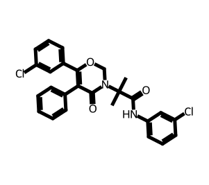 CC(C)(C(=O)Nc1cccc(Cl)c1)N1COC(c2cccc(Cl)c2)=C(c2ccccc2)C1=O